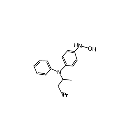 CC(C)CC(C)N(c1ccccc1)c1ccc(NO)cc1